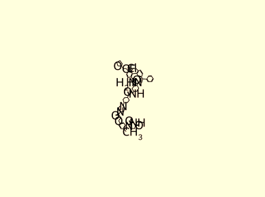 Cc1ccc(OCC(=O)N2CCN(C3CCC(C(=O)NC4CCC(NCC(c5ccccc5)c5ccc(Cl)c(-c6c(C(N)=O)ccc(OC[C@@H]7CCCO7)c6F)c5)CC4)CC3)CC2)cc1N1CCC(=O)NC1=O